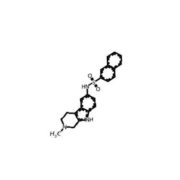 CN1CCc2c([nH]c3ccc(NS(=O)(=O)c4ccc5ccccc5c4)cc23)C1